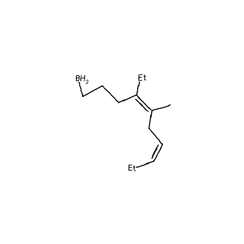 BCCC/C(CC)=C(/C)C/C=C\CC